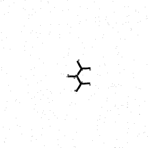 [CH2]N(C(C)C)C(C)C